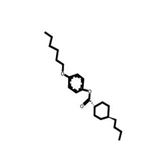 CCCCCCOc1ccc(OC(=O)[C@H]2CC[C@H](CCCC)CC2)cc1